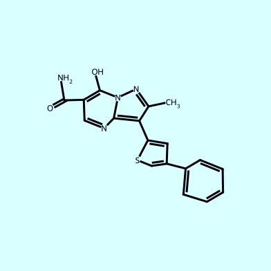 Cc1nn2c(O)c(C(N)=O)cnc2c1-c1cc(-c2ccccc2)cs1